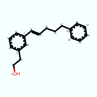 OCCc1cccc(C=CCCCc2ccccc2)c1